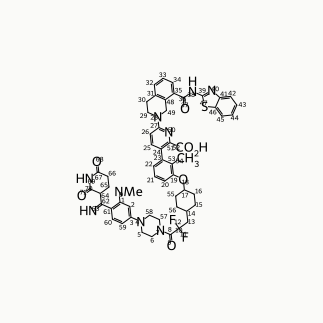 CNc1cc(N2CCN(C(=O)C(F)(F)CC3CCC(Oc4cccc(-c5ccc(N6CCc7cccc(C(=O)Nc8nc9ccccc9s8)c7C6)nc5C(=O)O)c4C)CC3)CC2)ccc1C(=N)C1CCC(=O)NC1=O